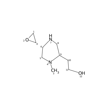 C1CO1.CN1CCNCC1CCO